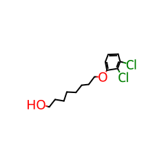 OCCCCCCCCOc1cccc(Cl)c1Cl